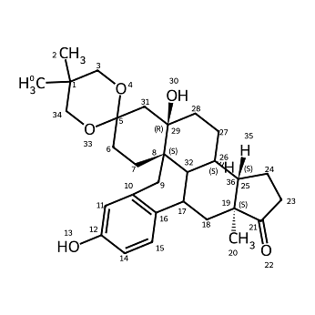 CC1(C)COC2(CC[C@@]34Cc5cc(O)ccc5C5C[C@]6(C)C(=O)CC[C@H]6[C@H](CC[C@@]3(O)C2)C54)OC1